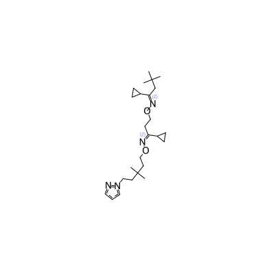 CC(C)(C)C/C(=N/OCC/C(=N/OCCC(C)(C)CCn1cccn1)C1CC1)C1CC1